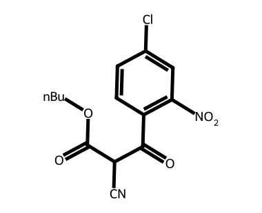 CCCCOC(=O)C(C#N)C(=O)c1ccc(Cl)cc1[N+](=O)[O-]